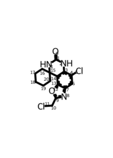 O=C1Nc2c(Cl)cc3nc(CCl)oc3c2C2(CCCCC2)N1